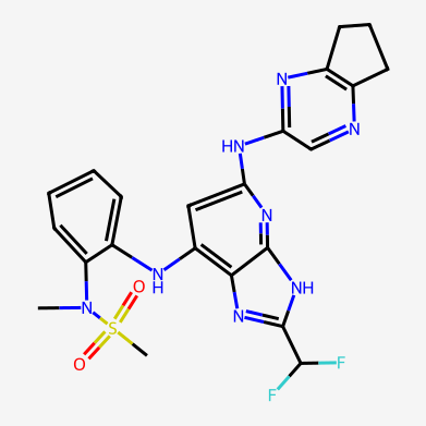 CN(c1ccccc1Nc1cc(Nc2cnc3c(n2)CCC3)nc2[nH]c(C(F)F)nc12)S(C)(=O)=O